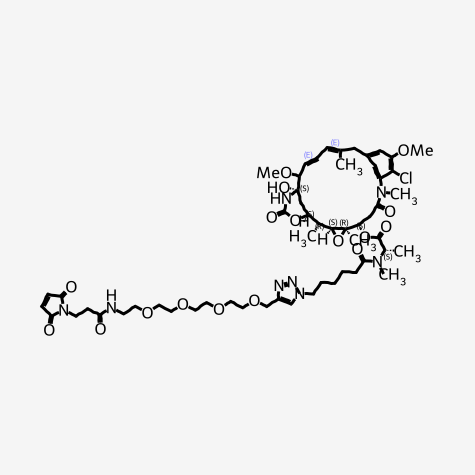 COc1cc2cc(c1Cl)N(C)C(=O)C[C@H](OC(=O)[C@H](C)N(C)C(=O)CCCCCn1cc(COCCOCCOCCOCCNC(=O)CCN3C(=O)C=CC3=O)nn1)[C@@]1(C)O[C@H]1[C@H](C)[C@@H]1C[C@@](O)(NC(=O)O1)C(OC)/C=C/C=C(\C)C2